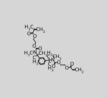 C=CC(=O)OCCOC(=O)N(C)C(C)(C)c1cccc(C(C)(C)N(C)C(=O)OCCOC(=O)C(=C)C)c1